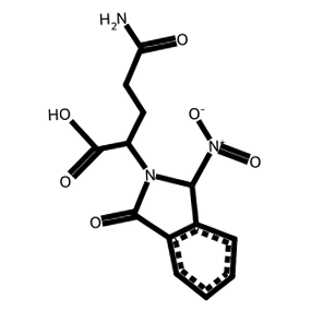 NC(=O)CCC(C(=O)O)N1C(=O)c2ccccc2C1[N+](=O)[O-]